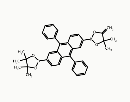 C=C1OB(c2ccc3c(-c4ccccc4)c4cc(B5OC(C)(C)C(C)(C)O5)ccc4c(-c4ccccc4)c3c2)OC1(C)C